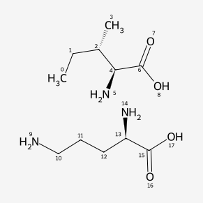 CC[C@H](C)[C@H](N)C(=O)O.NCCC[C@@H](N)C(=O)O